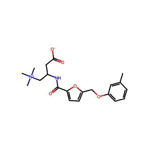 Cc1cccc(OCc2ccc(C(=O)NC(CC(=O)[O-])C[N+](C)(C)C)o2)c1